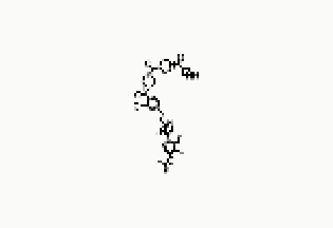 Cn1c(-c2ccc(OC(F)F)c(F)c2F)cnc1CNc1ccc(C(=O)N2CCN(C(=O)C3CCN(C(=O)C4CNC4)CC3)CC2)c(Cl)c1